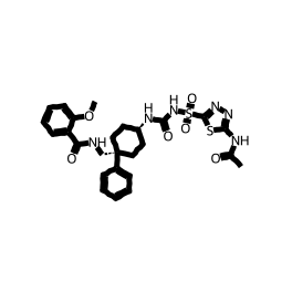 COc1ccccc1C(=O)NC[C@]1(c2ccccc2)CC[C@H](NC(=O)NS(=O)(=O)c2nnc(NC(C)=O)s2)CC1